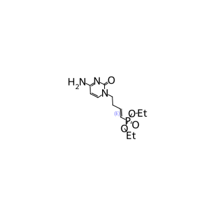 CCOP(=O)(/C=C/CCn1ccc(N)nc1=O)OCC